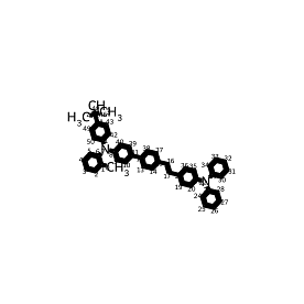 Cc1ccccc1N(c1ccc(-c2ccc(/C=C/c3ccc(N(c4ccccc4)c4ccccc4)cc3)cc2)cc1)c1ccc(C(C)(C)C)cc1